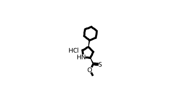 COC(=S)[C@@H]1C[C@H](C2CCCCC2)CN1.Cl